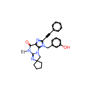 CCN1C(=O)c2nc(C#Cc3ccccc3)n(Cc3cccc(O)c3)c2N2CC3(CCCC3)N=C12